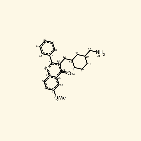 COc1ccc2nc(-c3ccccc3)n(CC3CCCC(CN)C3)c(=O)c2c1